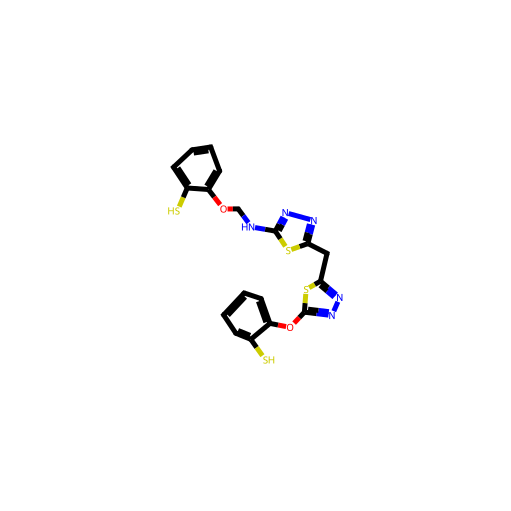 Sc1ccccc1OCNc1nnc(Cc2nnc(Oc3ccccc3S)s2)s1